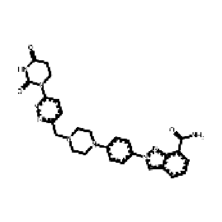 NC(=O)c1cccc2cn(-c3ccc(N4CCN(Cc5ccc(N6CCC(=O)NC6=O)nn5)CC4)cc3)nc12